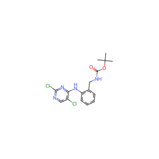 CC(C)(C)OC(=O)NCc1ccccc1Nc1nc(Cl)ncc1Cl